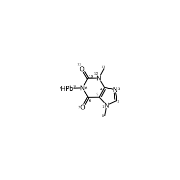 Cn1cnc2c1c(=O)[n]([PbH])c(=O)n2C